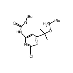 CC(C)(C)OC(=O)Nc1cc(C(C)(C)O[SiH2]C(C)(C)C)cc(Cl)n1